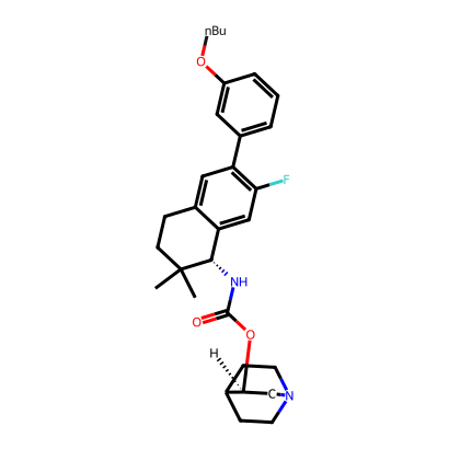 CCCCOc1cccc(-c2cc3c(cc2F)[C@H](NC(=O)O[C@H]2CN4CCC2CC4)C(C)(C)CC3)c1